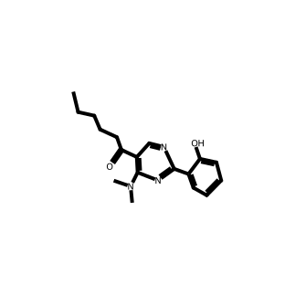 CCCCCC(=O)c1cnc(-c2ccccc2O)nc1N(C)C